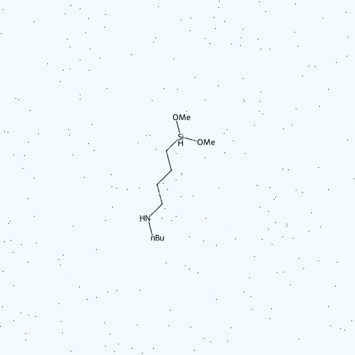 CCCCNCCCC[SiH](OC)OC